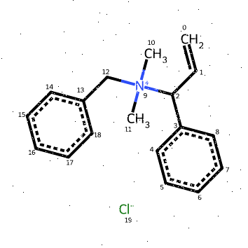 C=CC(c1ccccc1)[N+](C)(C)Cc1ccccc1.[Cl-]